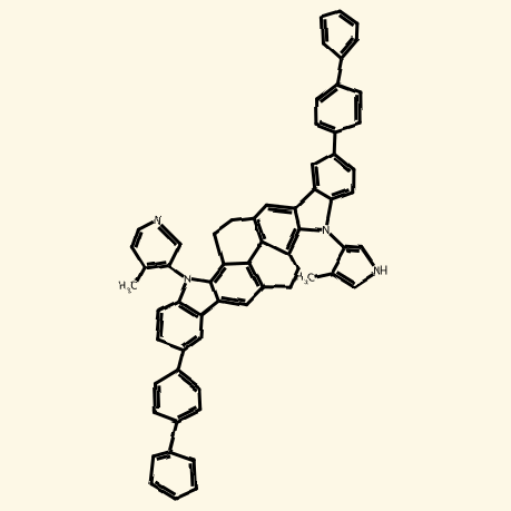 Cc1ccncc1-n1c2ccc(-c3ccc(-c4ccccc4)cc3)cc2c2cc3c4c(c21)CCc1cc2c5cc(-c6ccc(-c7ccccc7)cc6)ccc5n(-c5c[nH]cc5C)c2c(c1-4)CC3